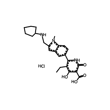 CCc1c(-c2ccc3c(c2)cc(CNC2CCCCC2)n3C)[nH]c(=O)c(C(=O)O)c1O.Cl